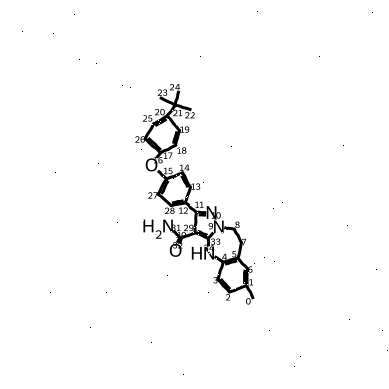 Cc1ccc2c(c1)CCn1nc(-c3ccc(Oc4ccc(C(C)(C)C)cc4)cc3)c(C(N)=O)c1N2